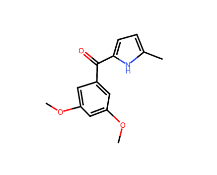 COc1cc(OC)cc(C(=O)c2ccc(C)[nH]2)c1